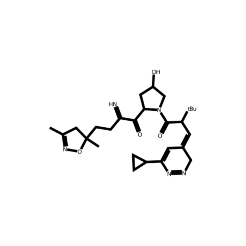 CC1=NOC(C)(CCC(=N)C(=O)C2CC(O)CN2C(=O)C(/C=C2\C=C(C3CC3)N=NC2)C(C)(C)C)C1